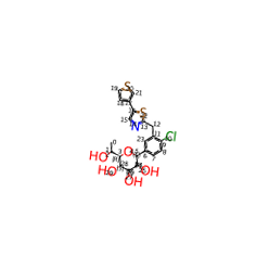 CC(O)[C@H]1O[C@@H](c2ccc(Cl)c(Cc3ncc(-c4ccsc4)s3)c2)[C@H](O)[C@@H](O)[C@@H]1O